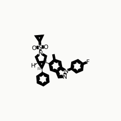 Cc1cc2c(cnn2-c2ccc(F)cc2)cc1[C@@]12CN(S(=O)(=O)C3CC3)C[C@@H]1[C@H]2c1ccccc1